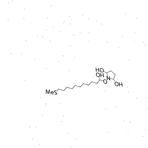 CSCCCCCCCCCCC(O)ON1C(O)CCC1O